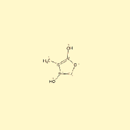 Cc1c(O)coc1O